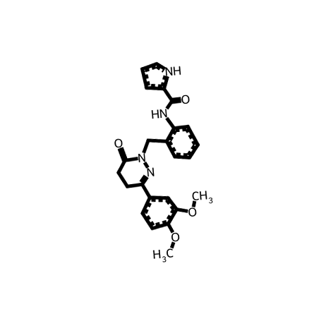 COc1ccc(C2=NN(Cc3ccccc3NC(=O)c3ccc[nH]3)C(=O)CC2)cc1OC